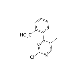 Cc1cnc(Cl)nc1-c1ccccc1C(=O)O